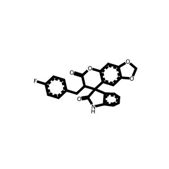 O=C1Oc2cc3c(cc2C2(C(=O)Nc4ccccc42)C1Cc1ccc(F)cc1)OCO3